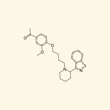 COc1cc(C(C)=O)ccc1OCCCCN1CCCCC1c1nsc2ccccc12